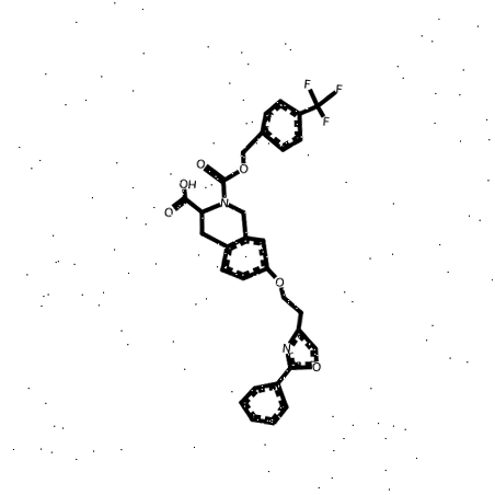 O=C(O)C1Cc2ccc(OCCc3coc(-c4ccccc4)n3)cc2CN1C(=O)OCc1ccc(C(F)(F)F)cc1